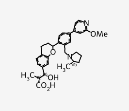 COc1cc(-c2ccc(C3CCc4ccc([C@H](O)[C@H](C)C(=O)O)cc4O3)c(CN3CCC[C@H]3C)c2)ccn1